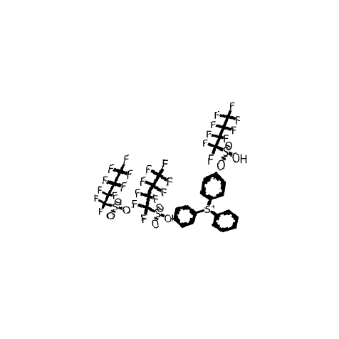 O=S(=O)(O)C(F)(F)C(F)(F)C(F)(F)C(F)(F)F.O=S(=O)(O)C(F)(F)C(F)(F)C(F)(F)C(F)(F)F.O=S(=O)([O-])C(F)(F)C(F)(F)C(F)(F)C(F)(F)F.c1ccc([S+](c2ccccc2)c2ccccc2)cc1